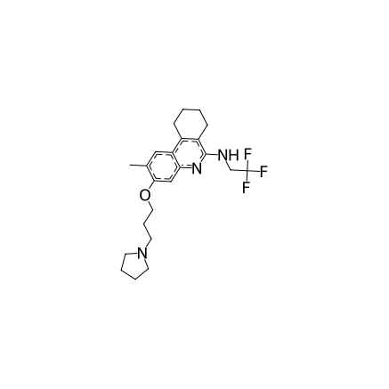 Cc1cc2c3c(c(NCC(F)(F)F)nc2cc1OCCCN1CCCC1)CCCC3